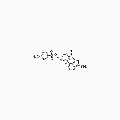 Cc1ccc(S(=O)(=O)OC[C@@H]2C[C@@H]3c4cccc5c4c(cn5C)C[C@H]3N(C)C2)cc1